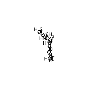 C=CC(=O)N1CCC(Nc2cc3c(Nc4ccc(Oc5ccnc(N6CC[C@@](O)(C(F)(F)F)C6)c5)cc4F)ncnc3cc2OC)CC1